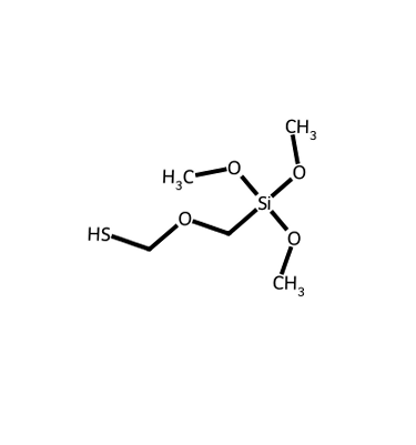 CO[Si](COCS)(OC)OC